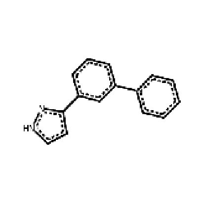 [c]1cccc(-c2cccc(-c3cc[nH]n3)c2)c1